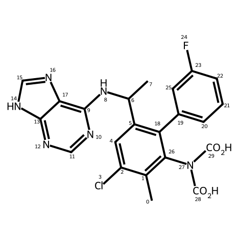 Cc1c(Cl)cc(C(C)Nc2ncnc3[nH]cnc23)c(-c2cccc(F)c2)c1N(C(=O)O)C(=O)O